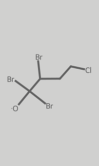 [O]C(Br)(Br)C(Br)CCCl